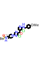 COc1ccc(CNc2nccc(C(=O)c3ncc(N4CCC(C)([C@@H](C)N[S+]([O-])C(C)(C)C)CC4)nc3Cl)c2Cl)cc1